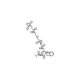 CC(C)C(=O)CNC(=O)[C@H](Cc1ccccc1)NC(=O)CNC(=O)CNC(=O)CCOCCNC(=O)CCN1C(=O)C=CC1=O